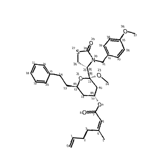 C=CCCC(C)=CC(=O)O[C@@H]1C[C@@H](CCc2ccccc2)O[C@@](OC)([C@@H]2CSC(=O)N2Cc2ccc(OC)cc2)C1